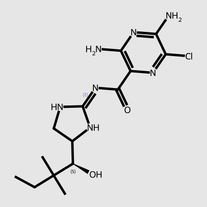 CCC(C)(C)[C@H](O)C1CN/C(=N/C(=O)c2nc(Cl)c(N)nc2N)N1